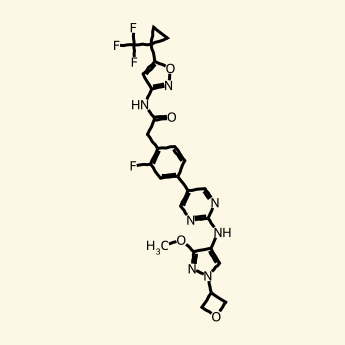 COc1nn(C2COC2)cc1Nc1ncc(-c2ccc(CC(=O)Nc3cc(C4(C(F)(F)F)CC4)on3)c(F)c2)cn1